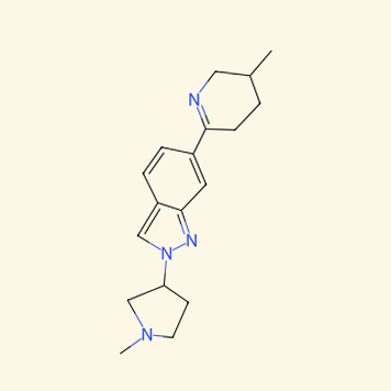 CC1CCC(c2ccc3cn(C4CCN(C)C4)nc3c2)=NC1